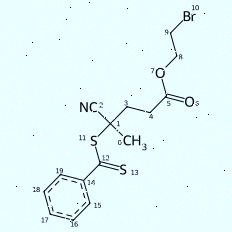 CC(C#N)(CCC(=O)OCCBr)SC(=S)c1ccccc1